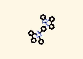 c1ccc(-c2nc(-c3ccc(N4c5ccccc5-c5ccccc5-n5c4nc4ccccc45)cc3)nc(-c3ccccc3-c3ccccc3)n2)cc1